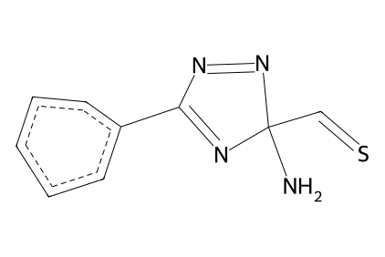 NC1(C=S)N=NC(c2ccccc2)=N1